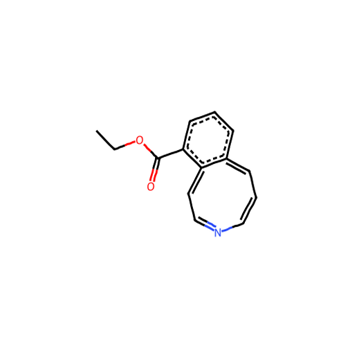 CCOC(=O)c1cccc2/c1=C\C=N/C=C\C=2